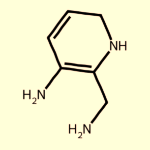 NCC1=C(N)C=CCN1